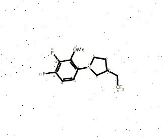 COc1c(N2CCC(CC(F)(F)F)C2)ccc(F)c1F